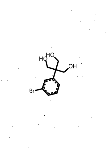 OCC(CO)(CO)c1cccc(Br)c1